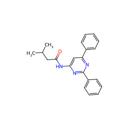 CC(C)CC(=O)Nc1cc(-c2ccccc2)nc(-c2ccccc2)n1